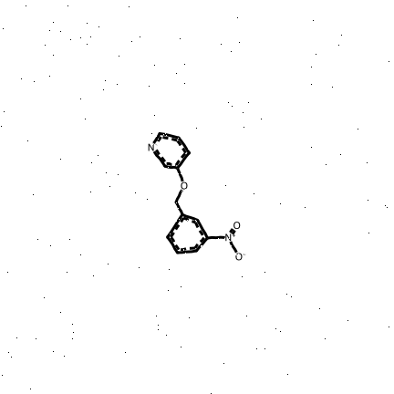 O=[N+]([O-])c1cccc(COc2cccnc2)c1